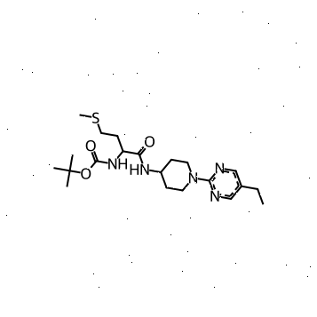 CCc1cnc(N2CCC(NC(=O)C(CCSC)NC(=O)OC(C)(C)C)CC2)nc1